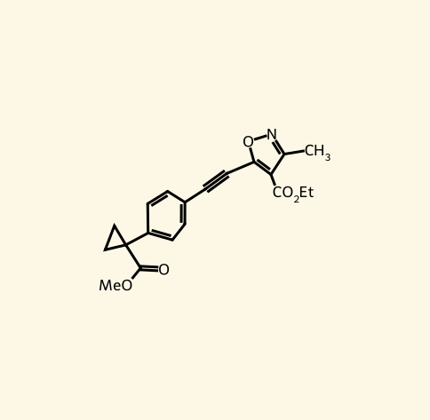 CCOC(=O)c1c(C)noc1C#Cc1ccc(C2(C(=O)OC)CC2)cc1